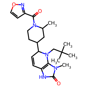 CC1CC(C2C=Cc3[nH]c(=O)n(C)c3N2CC(C)(C)C)CCN1C(=O)c1ccon1